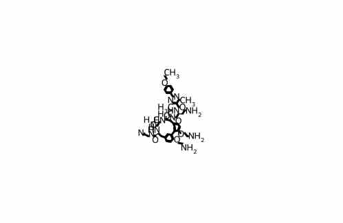 CCCOc1ccc(-c2nc(C)c(C(=O)N[C@@H](CCN)C(=O)N(C)[C@@H]3C(=O)N[C@@H](C)C(=O)N[C@H](C(=O)NCC#N)Cc4ccc(OCCN)c(c4)-c4cc3ccc4OCCN)c(C)n2)cc1